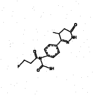 CC1CC(=O)NN=C1c1ccc(N(C(=O)S)C(=O)CCF)cc1